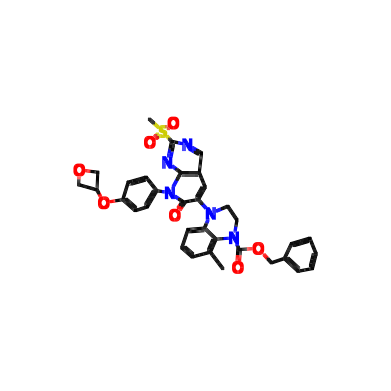 Cc1cccc2c1N(C(=O)OCc1ccccc1)CCN2c1cc2cnc(S(C)(=O)=O)nc2n(-c2ccc(OC3COC3)cc2)c1=O